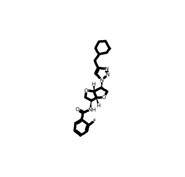 O=C(N[C@H]1CO[C@H]2[C@@H]1OC[C@@H]2n1cc(CC2CCCCC2)nn1)c1ccccc1F